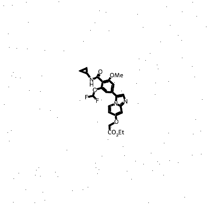 CCOC(=O)COc1ccn2c(-c3cc(OC)c(C(=O)NC4CC4)c(OC(F)F)c3)cnc2c1